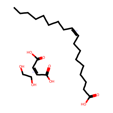 CCCCCCCC/C=C\CCCCCCCC(=O)O.O=C(O)/C=C\C(=O)O.OCCO